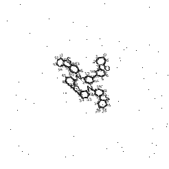 c1ccc2c(c1)oc1ccc(-c3cc4cc(c3)N(c3ccc5sc6ccccc6c5c3)c3cccc5c3oc3c(cccc35)N4c3ccc4sc5ccccc5c4c3)cc12